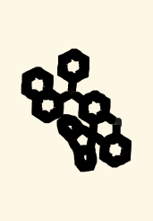 c1ccc(N(c2ccc3c(c2)C2(c4ccccc4O3)c3ccccc3-c3ccccc32)c2cccc3ccccc23)cc1